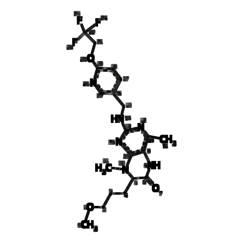 COCCCC1C(=O)Nc2c(C)nc(NCc3ccc(OCC(F)(F)F)nc3)nc2N1C